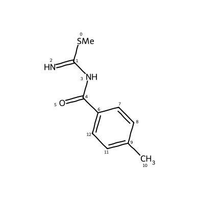 CSC(=N)NC(=O)c1ccc(C)cc1